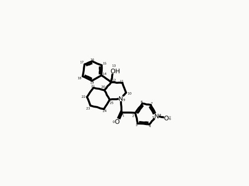 O=C(c1cc[n+]([O-])cc1)N1CCC(O)(c2ccccc2)C2CCCCC21